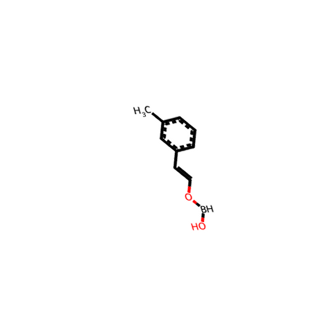 Cc1cccc(/C=C/OBO)c1